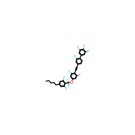 CCCCCc1cc(F)c(C(F)(F)Oc2cc(F)c(C#Cc3ccc(-c4cc(F)c(F)c(F)c4)c(F)c3)c(F)c2)c(F)c1